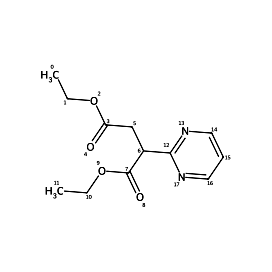 CCOC(=O)CC(C(=O)OCC)c1ncccn1